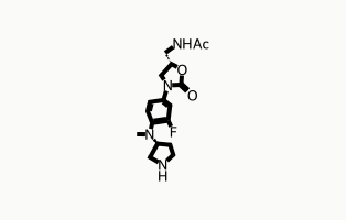 CC(=O)NC[C@H]1CN(c2ccc(N(C)[C@H]3CCNC3)c(F)c2)C(=O)O1